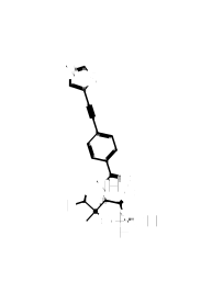 CC(O)(C(F)F)[C@H](NC(=O)c1ccc(C#Cc2cncs2)cc1)C(=O)NO